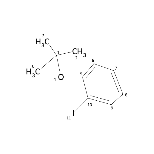 CC(C)(C)Oc1cc[c]cc1I